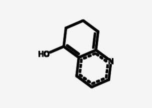 OC1=c2cccnc2=CCC1